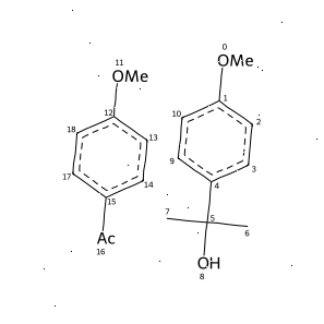 COc1ccc(C(C)(C)O)cc1.COc1ccc(C(C)=O)cc1